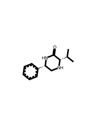 CC(C)[C@@H]1NC[C@H](c2ccccc2)NC1=O